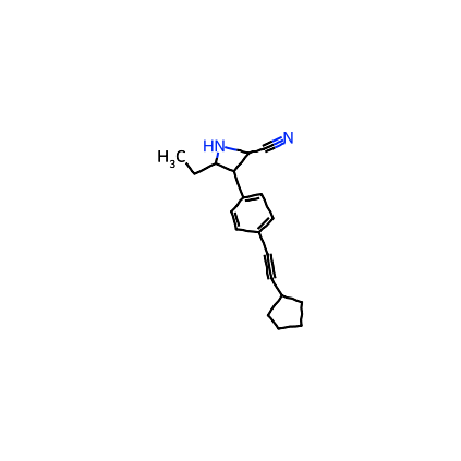 CCC1NC(C#N)C1c1ccc(C#CC2CCCC2)cc1